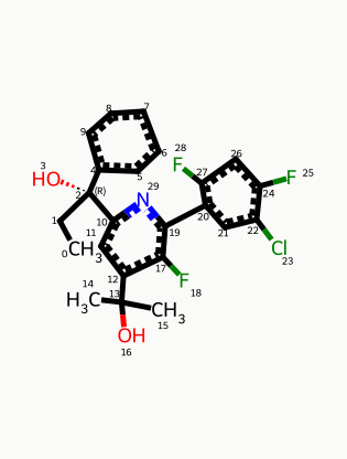 CC[C@@](O)(c1ccccc1)c1cc(C(C)(C)O)c(F)c(-c2cc(Cl)c(F)cc2F)n1